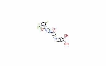 COc1ccc(CN2CCc3cc(CO)c(CO)cc3C2)cc1N1CCN(C(=O)c2cc(F)ccc2C(F)(F)F)CC1